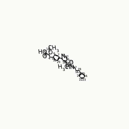 CCOC(Cc1ccc(-c2cc(N(C)C(=O)NCCCc3ccccc3)ccn2)cc1)C(=O)O